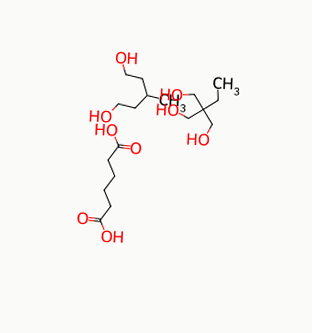 CC(CCO)CCO.CCC(CO)(CO)CO.O=C(O)CCCCC(=O)O